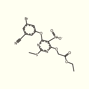 CCOC(=O)COc1nc(SC)nc(Oc2cc(Br)cc(C#N)c2)c1[N+](=O)[O-]